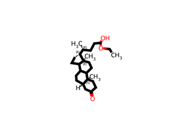 CCOC(O)CC[C@@H](C)[C@H]1CCC2C3CC[C@@H]4CC(=O)CC[C@]4(C)C3CC[C@@]21C